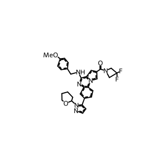 COc1ccc(CNc2nc3cc(-c4ccnn4C4CCCCO4)ccc3n3cc(C(=O)N4CC(F)(F)C4)cc23)cc1